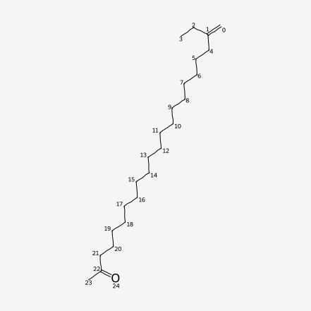 C=C(CC)CCCCCCCCCCCCCCCCCCC(C)=O